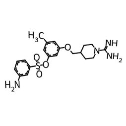 Cc1cc(OCC2CCN(C(=N)N)CC2)cc(OS(=O)(=O)c2cccc(N)c2)c1